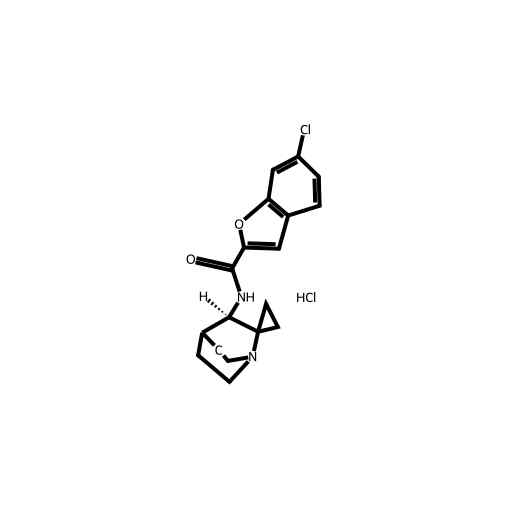 Cl.O=C(N[C@@H]1C2CCN(CC2)C12CC2)c1cc2ccc(Cl)cc2o1